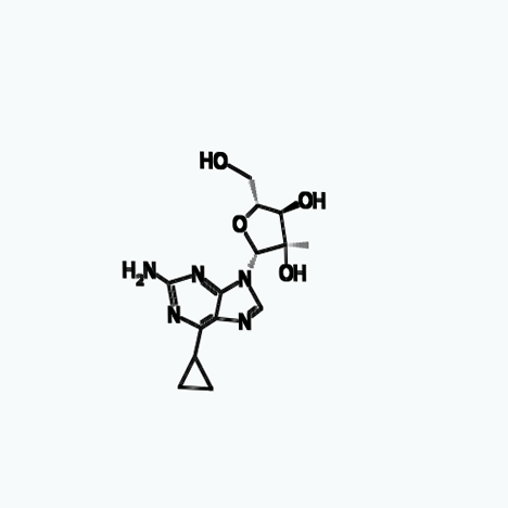 C[C@@]1(O)[C@H](O)[C@@H](CO)O[C@H]1n1cnc2c(C3CC3)nc(N)nc21